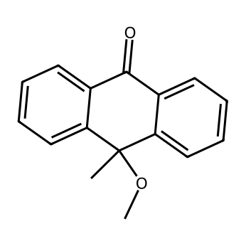 COC1(C)c2ccccc2C(=O)c2ccccc21